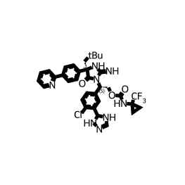 CC(C)(C)C[C@]1(c2ccc(-c3ccccn3)cc2)NC(=N)N([C@H](COC(=O)NC2(C(F)(F)F)CC2)c2ccc(Cl)c(C3NC=NN3)c2)C1=O